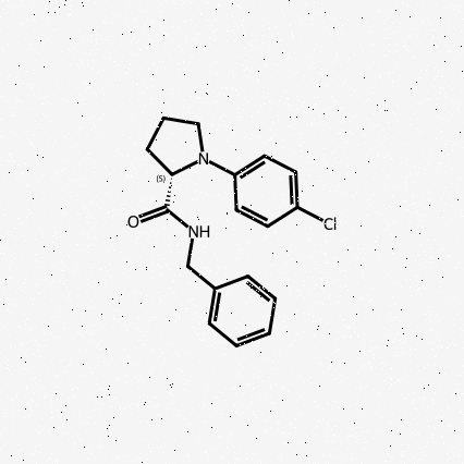 O=C(NCc1ccccc1)[C@@H]1CCCN1c1ccc(Cl)cc1